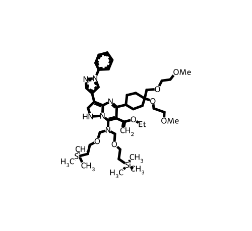 C=C(OCC)C1=C(N(COCC[Si](C)(C)C)COCC[Si](C)(C)C)N2NCC(c3cnn(-c4ccccc4)c3)=C2N=C1C1CCC(COCCOC)(OCCOC)CC1